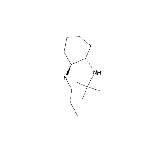 CCCN(C)[C@H]1CCCC[C@@H]1NC(C)(C)C